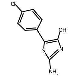 Nc1nc(O)c(-c2ccc(Cl)cc2)s1